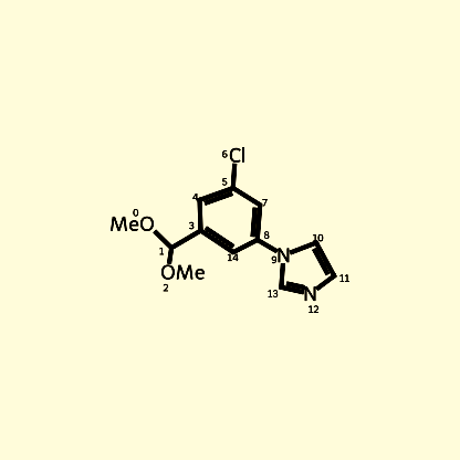 COC(OC)c1cc(Cl)cc(-n2ccnc2)c1